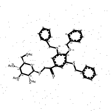 CC(=O)OC[C@H]1O[C@@H](OCC(=O)c2cc(OCc3ccccc3)c(OCc3ccccc3)c(OCc3ccccc3)c2)[C@H](OC(C)=O)[C@@H](OC(C)=O)[C@@H]1OC(C)=O